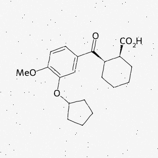 COc1ccc(C(=O)[C@@H]2CCCC[C@@H]2C(=O)O)cc1OC1CCCC1